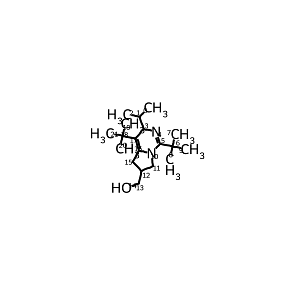 CC(C)C1N=C(C(C)(C)C)N2CC(CO)CC2=C1C(C)(C)C